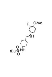 COc1ccc(NCC2CCC(NS(=O)(=O)C(C)(C)C)CC2)cc1F